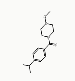 CON1CCN(C(=O)c2ccc(C(C)C)cc2)CC1